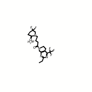 CCc1nc2c(c(C(F)(F)F)n1)CCN(C(=O)C[C@H](N)CN1CC(F)(F)CCC1=O)C2